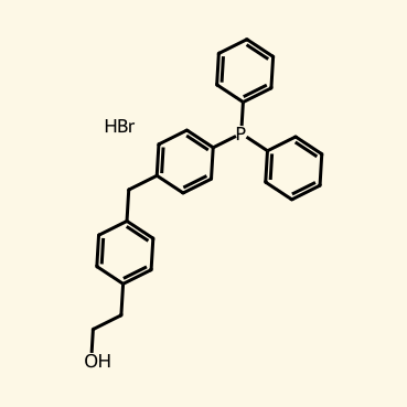 Br.OCCc1ccc(Cc2ccc(P(c3ccccc3)c3ccccc3)cc2)cc1